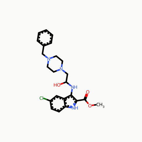 COC(=O)c1[nH]c2ccc(Cl)cc2c1NC(O)CN1CCN(Cc2ccccc2)CC1